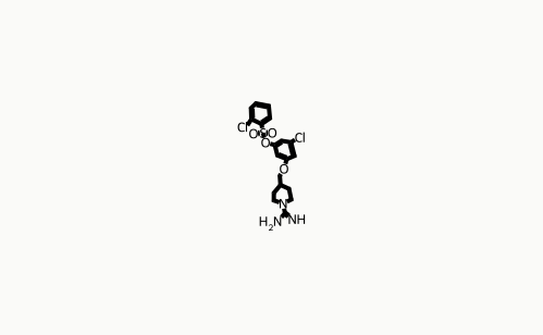 N=C(N)N1CCC(COc2cc(Cl)cc(OS(=O)(=O)c3ccccc3Cl)c2)CC1